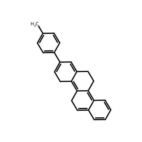 Cc1ccc(C2=CCC3=C4CC=c5ccccc5=C4CCC3=C2)cc1